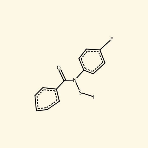 O=C(c1ccccc1)N(SI)c1ccc(F)cc1